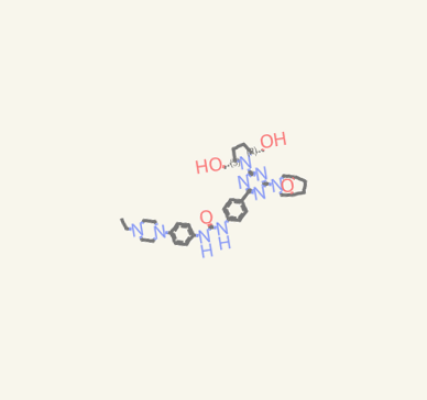 CCN1CCN(c2ccc(NC(=O)Nc3ccc(-c4nc(N5CC6CCC(C5)O6)nc(N5[C@H](CO)CC[C@@H]5CO)n4)cc3)cc2)CC1